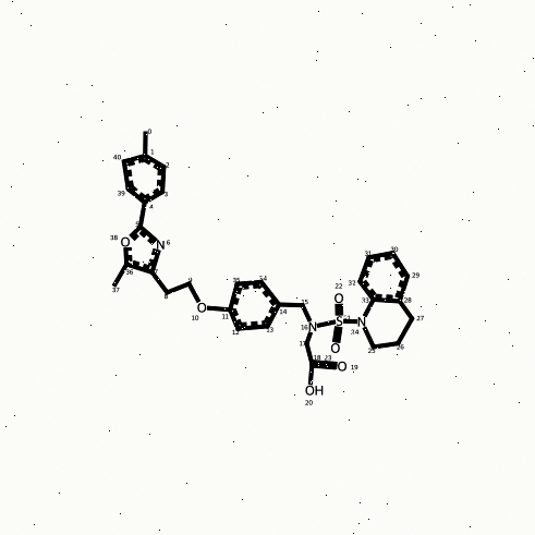 Cc1ccc(-c2nc(CCOc3ccc(CN(CC(=O)O)S(=O)(=O)N4CCCc5ccccc54)cc3)c(C)o2)cc1